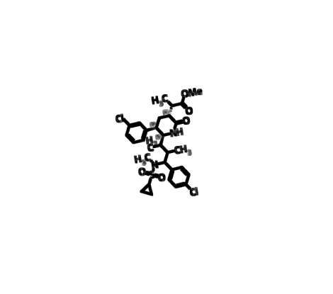 COC(=O)C(C)[C@H]1C[C@H](c2cccc(Cl)c2)[C@H](C(C)C(C)C(c2ccc(Cl)cc2)N(C)S(=O)(=O)C2CC2)NC1=O